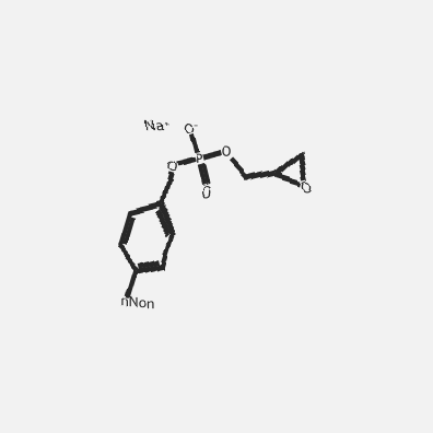 CCCCCCCCCc1ccc(OP(=O)([O-])OCC2CO2)cc1.[Na+]